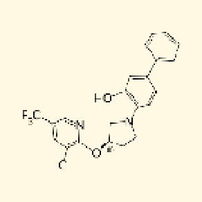 Oc1cc(-c2ccccc2)ccc1N1CC[C@@H](Oc2ncc(C(F)(F)F)cc2Cl)C1